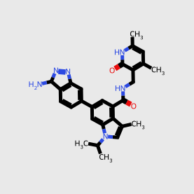 Cc1cc(C)c(CNC(=O)c2cc(-c3ccc4c(c3)N=NC4N)cc3c2c(C)cn3C(C)C)c(=O)[nH]1